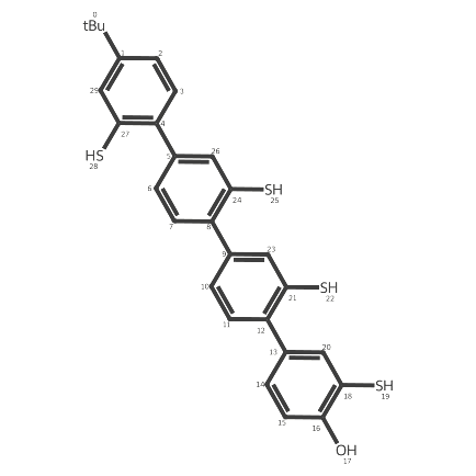 CC(C)(C)c1ccc(-c2ccc(-c3ccc(-c4ccc(O)c(S)c4)c(S)c3)c(S)c2)c(S)c1